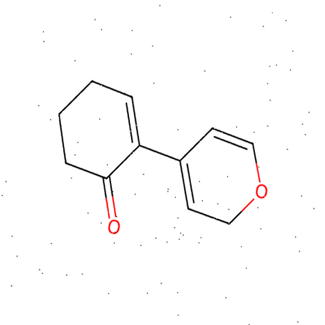 O=C1CCCC=C1C1=CCOC=C1